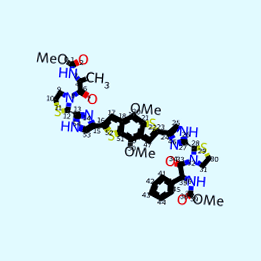 COC(=O)NC(C)C(=O)N1CCS[C@H]1c1nc(-c2cc3c(OC)c4sc(-c5c[nH]c([C@@H]6SCCN6C(=O)C(NC(=O)OC)c6ccccc6)n5)cc4c(OC)c3s2)c[nH]1